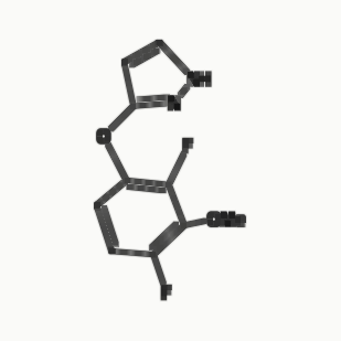 COc1c(F)ccc(Oc2cc[nH]n2)c1F